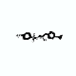 Cc1ccc(S(=O)(=O)OC[C@H](O)Cc2ccc(C3CC3)cc2)cc1